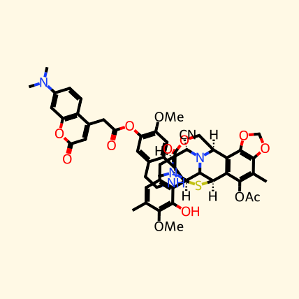 COc1cc2c(cc1OC(=O)Cc1cc(=O)oc3cc(N(C)C)ccc13)CCN[C@]21CS[C@@H]2c3c(OC(C)=O)c(C)c4c(c3[C@H](COC1=O)N1C2[C@H]2c3c(cc(C)c(OC)c3O)C[C@@H]([C@@H]1C#N)N2C)OCO4